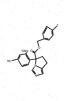 COc1cc(C#N)ccc1C1(C(=O)OCc2ccc(F)cc2)CCc2cncn21